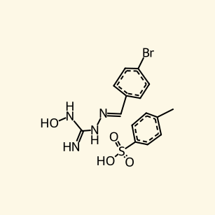 Cc1ccc(S(=O)(=O)O)cc1.N=C(NO)NN=Cc1ccc(Br)cc1